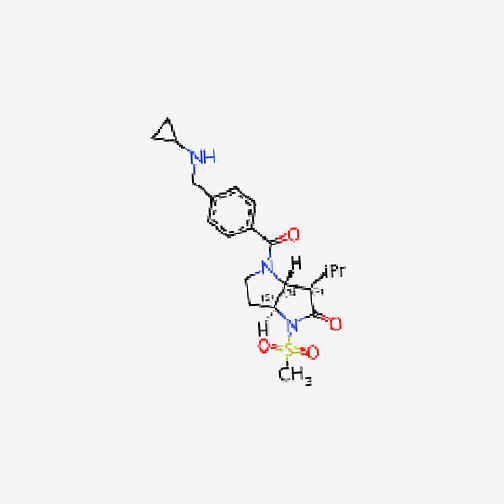 CC(C)[C@H]1C(=O)N(S(C)(=O)=O)[C@H]2CCN(C(=O)c3ccc(CNC4CC4)cc3)[C@H]12